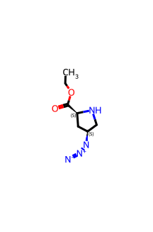 CCOC(=O)[C@@H]1C[C@H](N=[N+]=[N-])CN1